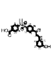 O=C(O)c1ccc(NS(=O)(=O)c2ccc(C(=O)C=Cc3cccc(O)c3)cc2)cc1